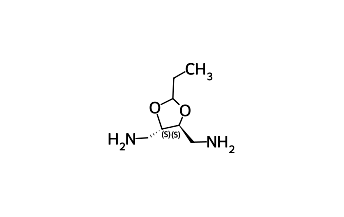 CCC1O[C@@H](CN)[C@H](CN)O1